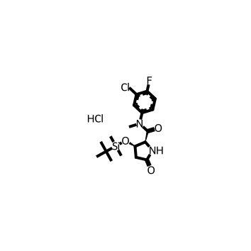 CN(C(=O)[C@H]1NC(=O)C[C@H]1O[Si](C)(C)C(C)(C)C)c1ccc(F)c(Cl)c1.Cl